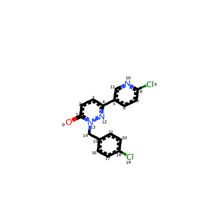 O=c1ccc(-c2ccc(Cl)nc2)nn1Cc1ccc(Cl)cc1